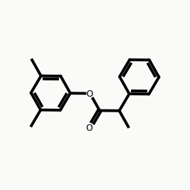 Cc1cc(C)cc(OC(=O)C(C)c2ccccc2)c1